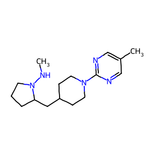 CNN1CCCC1CC1CCN(c2ncc(C)cn2)CC1